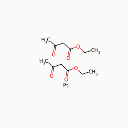 CCOC(=O)CC(C)=O.CCOC(=O)CC(C)=O.[Pt]